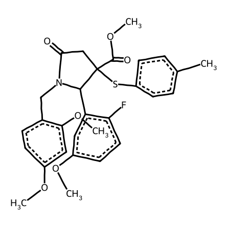 COC(=O)C1(Sc2ccc(C)cc2)CC(=O)N(Cc2ccc(OC)cc2OC)C1c1cc(OC)ccc1F